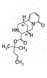 C=CCC(C)(C)OC(=O)C1NC[C@H]2C[C@@H]1Cn1c2cccc1=O